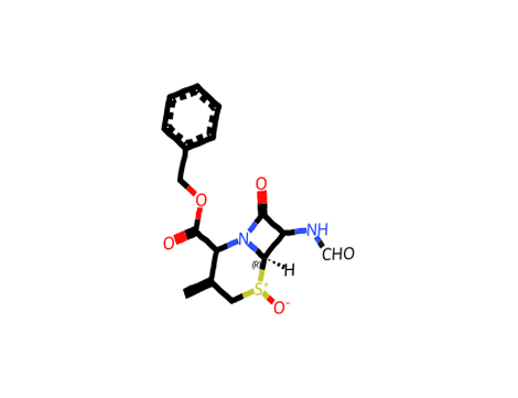 C=C1C[S+]([O-])[C@@H]2C(NC=O)C(=O)N2C1C(=O)OCc1ccccc1